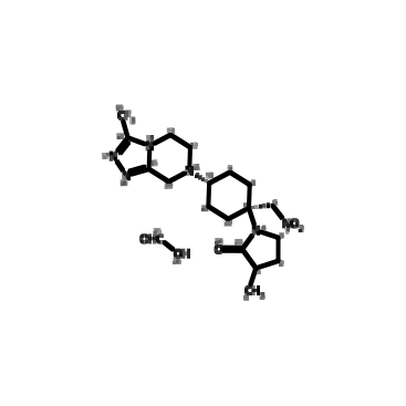 CC1CCN([C@]2(C[N+](=O)[O-])CC[C@@H](N3CCn4c(nnc4C(F)(F)F)C3)CC2)C1=O.O=CO